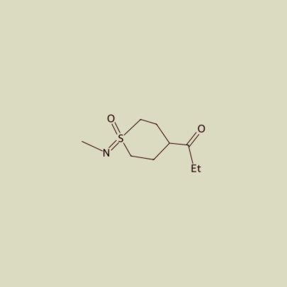 CCC(=O)C1CCS(=O)(=NC)CC1